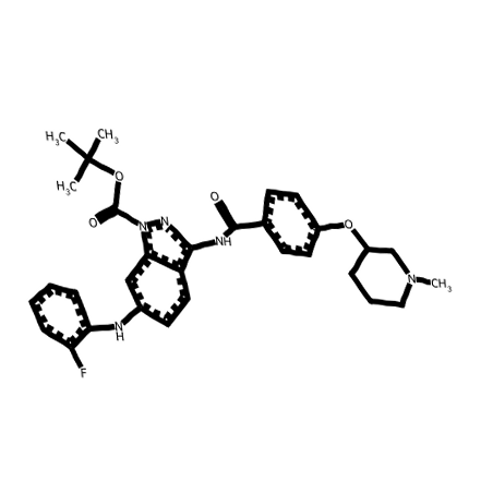 CN1CCCC(Oc2ccc(C(=O)Nc3nn(C(=O)OC(C)(C)C)c4cc(Nc5ccccc5F)ccc34)cc2)C1